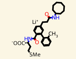 CSCC[C@H](NC(=O)c1ccc(CCC(=O)NC2CCCCCCC2)cc1-c1ccccc1C)C(=O)[O-].[Li+]